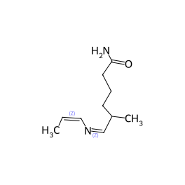 C/C=C\N=C/C(C)CCCC(N)=O